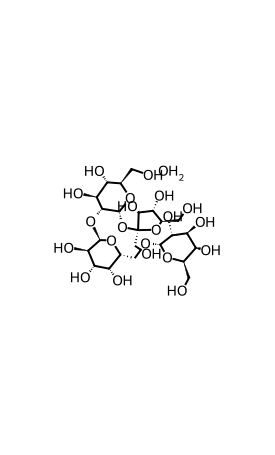 O.OC[C@H]1O[C@H](OC[C@H]2O[C@H](O[C@H]3[C@@H](O[C@]4(CO)O[C@H](CO)[C@@H](O)[C@@H]4O)O[C@H](CO)[C@@H](O)[C@@H]3O)[C@H](O)[C@@H](O)[C@H]2O)[C@H](O)[C@@H](O)[C@H]1O